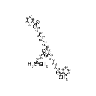 CC(OCCCCCCCCCC(CCCCCCCCCOC(=O)C1CCCCC1)OC(=O)CCCN(C)C)C1CCCCC1